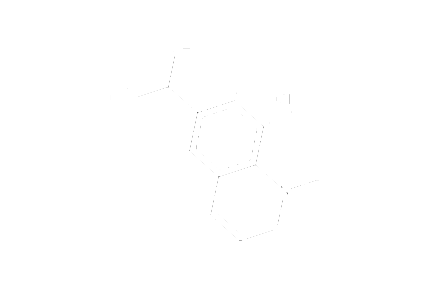 CC(C)c1ccc2c(c1)C=CCN2F.Cl